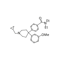 CCN(CC)C(=O)c1ccc(C2(c3cccc(OC)c3)CCN(CC3CC3)CC2)cc1